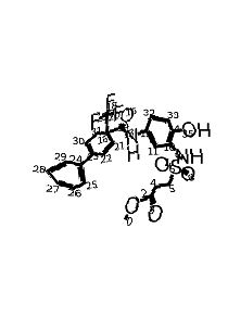 COC(=O)CCS(=O)(=O)Nc1cc(NC(=O)C2(C(F)(F)F)C=CC(c3ccccc3)=CC2)ccc1O